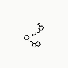 O=C(CNC(=O)c1cccc(C(F)(F)F)c1)N[C@H]1CCCC[C@H]1NCc1c[nH]c2ccccc12